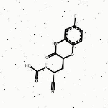 N#C[C@H](C[C@@H]1Oc2ccc(F)cc2NC1=O)NC(=O)O